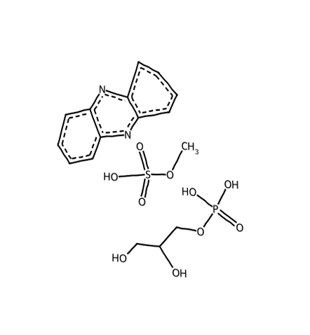 COS(=O)(=O)O.O=P(O)(O)OCC(O)CO.c1ccc2nc3ccccc3nc2c1